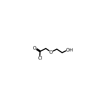 O=C(Cl)COCCO